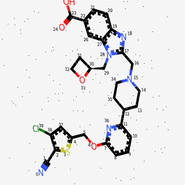 N#Cc1sc(COc2cccc(C3CCN(Cc4nc5ccc(C(=O)O)cc5n4C[C@@H]4CCO4)CC3)n2)cc1Cl